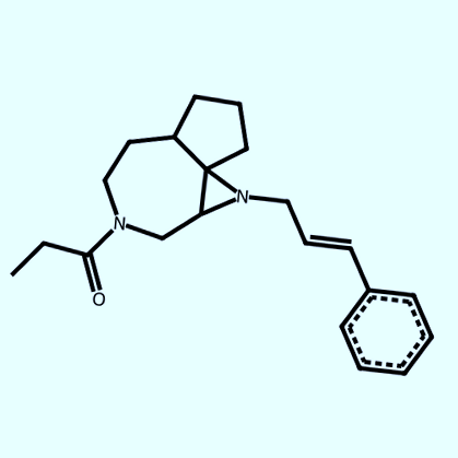 CCC(=O)N1CCC2CCCC23C(C1)N3C/C=C/c1ccccc1